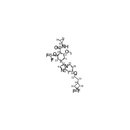 COc1cc(-c2cnc3cc(OCCC4CC(F)(F)C4)ccn23)cc(OC(F)F)c1C(=O)NC1CC1